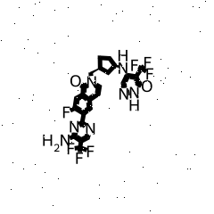 Nc1nc(-c2cc3ccn(C[C@H]4CC[C@@H](Nc5cn[nH]c(=O)c5C(F)(F)F)C4)c(=O)c3cc2F)ncc1C(F)(F)F